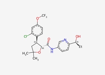 CC[C@H](O)c1ccc(NC(=O)[C@@H]2OC(C)(C)C[C@H]2c2ccc(OC(F)(F)F)cc2Cl)cn1